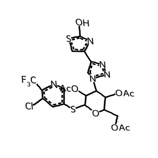 CC(=O)OCC1OC(Sc2cnc(C(F)(F)F)c(Cl)c2)C(OC(C)=O)C(n2cc(-c3csc(O)n3)nn2)C1OC(C)=O